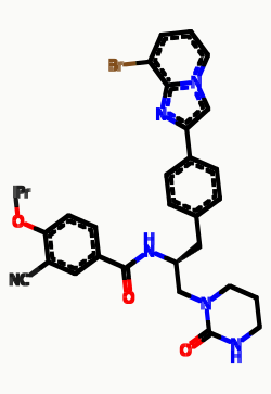 CC(C)Oc1ccc(C(=O)N[C@@H](Cc2ccc(-c3cn4cccc(Br)c4n3)cc2)CN2CCCNC2=O)cc1C#N